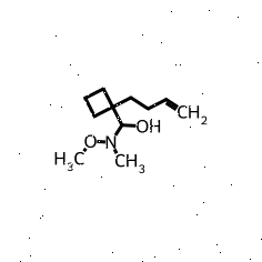 C=CCCC1(C(O)N(C)OC)CCC1